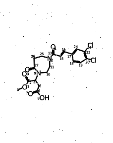 COC(=O)C(CC(=O)O)N1CCN(C(=O)C=Cc2ccc(Cl)c(Cl)c2)CCC1=O